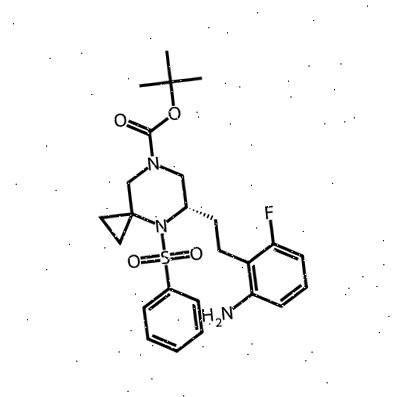 CC(C)(C)OC(=O)N1C[C@H](CCc2c(N)cccc2F)N(S(=O)(=O)c2ccccc2)C2(CC2)C1